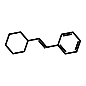 C(=Cc1ccccc1)[C]1CCCCC1